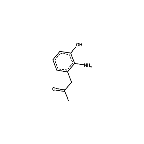 CC(=O)Cc1cccc(O)c1N